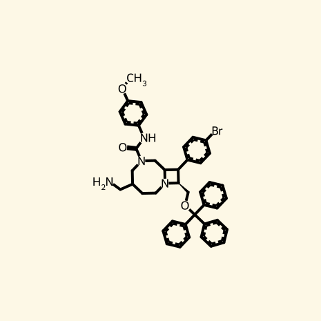 COc1ccc(NC(=O)N2CC(CN)CCN3C(C2)C(c2ccc(Br)cc2)[C@H]3COC(c2ccccc2)(c2ccccc2)c2ccccc2)cc1